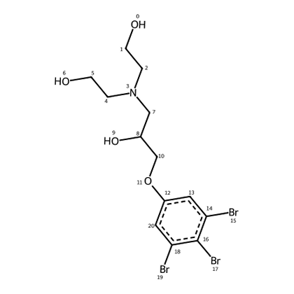 OCCN(CCO)CC(O)COc1cc(Br)c(Br)c(Br)c1